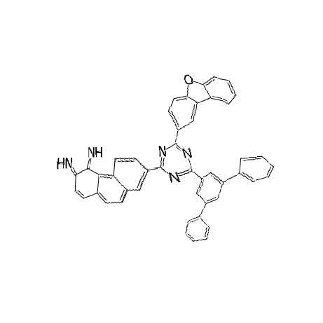 N=C1C=Cc2ccc3cc(-c4nc(-c5cc(-c6ccccc6)cc(-c6ccccc6)c5)nc(-c5ccc6oc7ccccc7c6c5)n4)ccc3c2C1=N